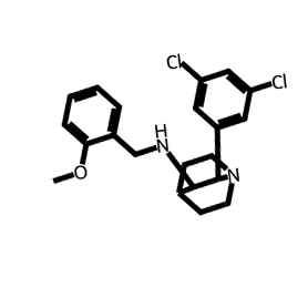 COc1ccccc1CNC1C2CCN(CC2)C1c1cc(Cl)cc(Cl)c1